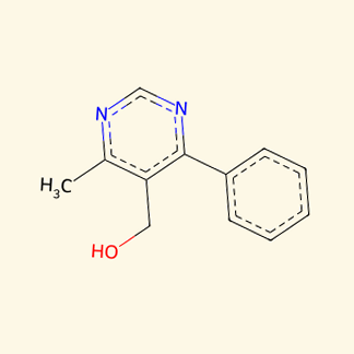 Cc1ncnc(-c2ccccc2)c1CO